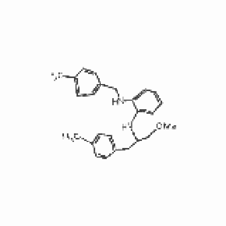 COCC(Cc1ccc(C)cc1)Nc1ccccc1NCc1ccc(C(F)(F)F)cc1